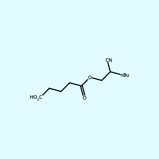 CCCCC(C#N)COC(=O)CCCC(=O)O